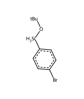 CC(C)(C)O[SiH2]c1ccc(Br)cc1